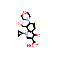 O=C(O)c1cn(C2CC2)c2c(CO)c(N3CCOCC3)c(F)cc2c1=O